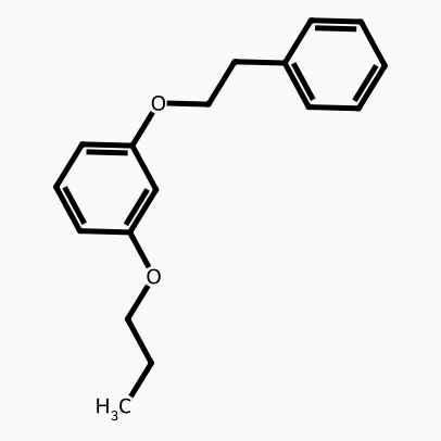 CCCOc1cccc(OCCc2ccccc2)c1